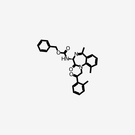 CC1=N[C@H](NC(=O)OCc2ccccc2)C(=O)N(CC(=O)c2ccccc2C)c2c(C)cccc21